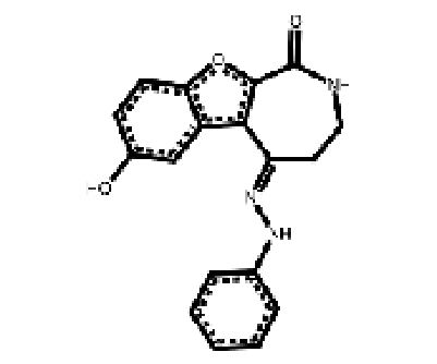 O=C1NCCC(=NNc2ccccc2)c2c1oc1ccc(O)cc21